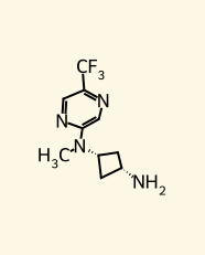 CN(c1cnc(C(F)(F)F)cn1)[C@H]1C[C@@H](N)C1